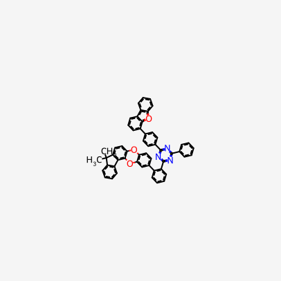 CC1(C)c2ccccc2-c2c1ccc1c2Oc2cc(-c3ccccc3-c3nc(-c4ccccc4)nc(-c4ccc(-c5cccc6c5oc5ccccc56)cc4)n3)ccc2O1